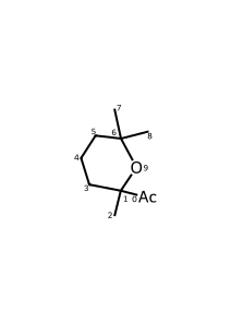 CC(=O)C1(C)CCCC(C)(C)O1